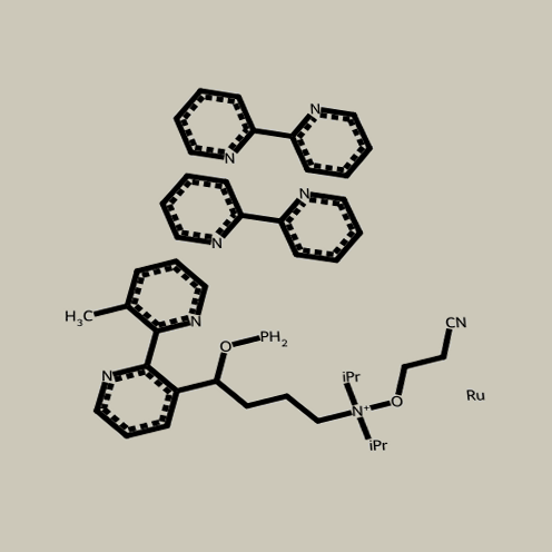 Cc1cccnc1-c1ncccc1C(CCC[N+](OCCC#N)(C(C)C)C(C)C)OP.[Ru].c1ccc(-c2ccccn2)nc1.c1ccc(-c2ccccn2)nc1